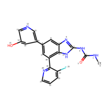 CCNC(=O)Nc1nc2cc(-c3cncc(O)c3)cc(-c3ncccc3F)c2[nH]1